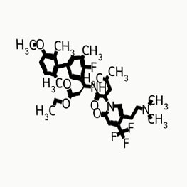 CCOC(=O)C[C@H](NC(=O)C(CC(C)C)n1cc(CCN(C)C)c(C(F)(F)F)cc1=O)c1cc(-c2c(C)ccc(OC)c2C)cc(C)c1F